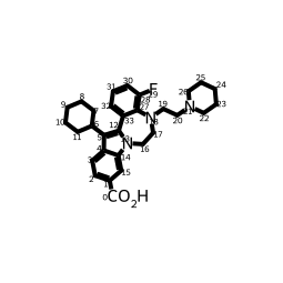 O=C(O)c1ccc2c(C3CCCCC3)c3n(c2c1)CCN(CCN1CCCCC1)c1c(F)cccc1-3